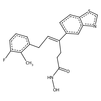 Cc1c(F)cccc1C/C=C(\CCC(=O)NO)c1ccc2scnc2c1